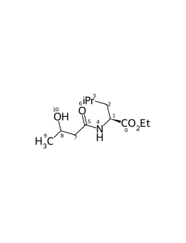 CCOC(=O)[C@H](CC(C)C)NC(=O)CC(C)O